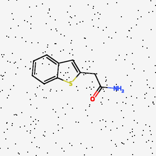 NC(=O)[CH]c1cc2ccccc2s1